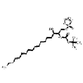 CCCCCCCCCCCCCC=CC(O)C(COP(=O)(OC)OC)NC(=O)OC(C)(C)C